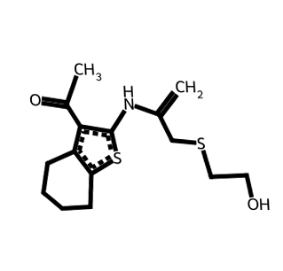 C=C(CSCCO)Nc1sc2c(c1C(C)=O)CCCC2